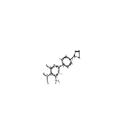 Cc1nc(-c2ccc(C3CCC3)cc2)nc(N)c1C(C)C